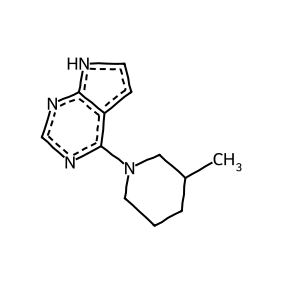 CC1CCCN(c2ncnc3[nH]ccc23)C1